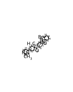 CCC1(C(=O)N2CCN(S(=O)(=O)c3ccccc3Br)CC2)CCN(c2ccnc(C)n2)CC1